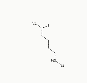 CCNCCCCC(I)CC